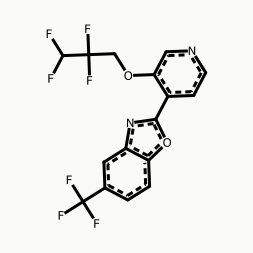 FC(F)C(F)(F)COc1cnccc1-c1nc2cc(C(F)(F)F)ccc2o1